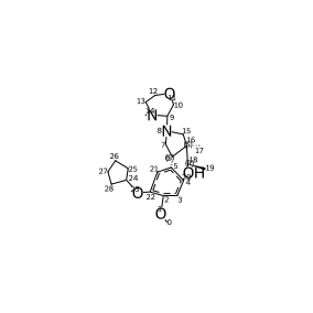 COc1ccc([C@@H]2CN(C3COCC[N]3)C[C@@]2(C)[C@@H](C)O)cc1OC1CCCC1